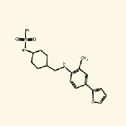 Cc1cc(-c2ccco2)ccc1NCC1CCC(NS(=O)(=O)C(C)C)CC1